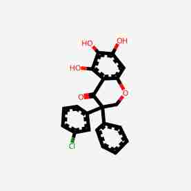 O=C1c2c(cc(O)c(O)c2O)OCC1(c1ccccc1)c1cccc(Cl)c1